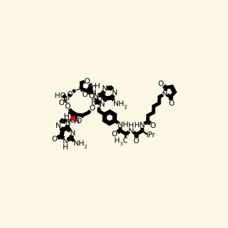 CC(C)[C@H](NC(=O)CCCCCN1C(=O)C=CC1=O)C(=O)N[C@@H](C)C(=O)Nc1ccc(CSP2(=O)OCC3O[C@@H](n4cnc5c(=O)[nH]c(N)nc54)[C@H](OP(=O)(O)OC[C@@]45CO[C@@H]([C@H](n6cnc7c(N)ncnc76)O4)[C@@H]5O2)[C@@H]3O)cc1